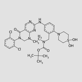 CN(Cc1cc(Nc2ncc3c(n2)N(C)CN(c2c(Cl)cccc2Cl)C3=O)ccc1N1CCS(O)(O)CC1)C(=O)OC(C)(C)C